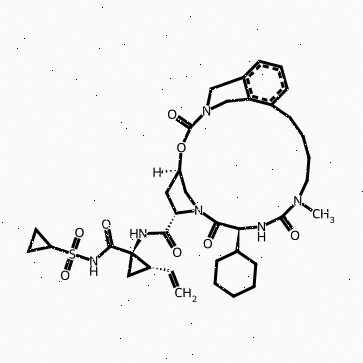 C=C[C@@H]1C[C@]1(NC(=O)[C@@H]1C[C@@H]2CN1C(=O)[C@H](C1CCCCC1)NC(=O)N(C)CCCCc1cccc3c1CN(C3)C(=O)O2)C(=O)NS(=O)(=O)C1CC1